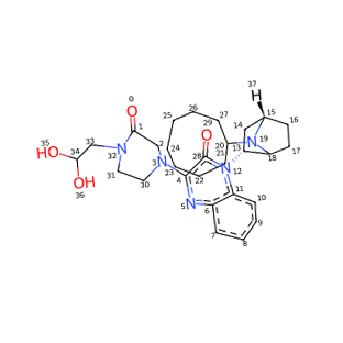 O=C1CN(c2nc3ccccc3n([C@@H]3C[C@@H]4CCC3N4C3CCCCCCC3)c2=O)CCN1CC(O)O